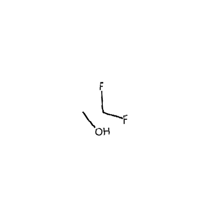 CO.FCF